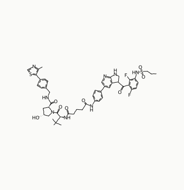 CCCS(=O)(=O)Nc1ccc(F)c(C(=O)C2CNc3ncc(-c4ccc(NC(=O)CCCC(=O)N[C@H](C(=O)N5C[C@H](O)C[C@H]5C(=O)NCc5ccc(-c6scnc6C)cc5)C(C)(C)C)cc4)cc32)c1F